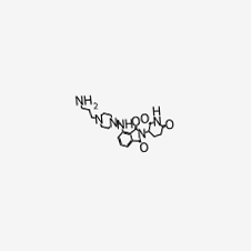 NCCCN1CCN(Nc2cccc3c2C(=O)N(C2CCC(=O)NC2=O)C3=O)CC1